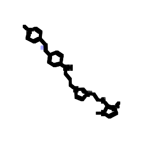 Cn1cc[n+](C)c1SCC[n+]1ccn(CCCNc2ccc(/C=C/c3cc[n+](C)cc3)cc2)c1